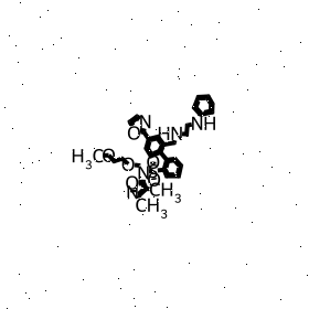 COCCOCN(c1onc(C)c1C)S(=O)(=O)c1ccccc1-c1ccc(-c2ncco2)cc1CNCCNc1ccccc1